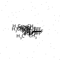 CC[CH][Si](O[Si](C)(C)C)(O[Si](C)(C)CCC(F)(F)C(F)(F)C(F)(F)F)O[Si](C)(C)O[Si](C)(C)C